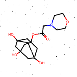 O=C(CN1CCOCC1)OC12CC3(O)CC(O)(CC(O)(C3)C1)C2